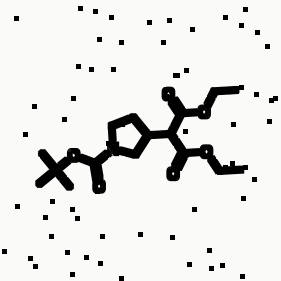 CCOC(=O)C(C(=O)OCC)C1CCN(C(=O)OC(C)(C)C)C1